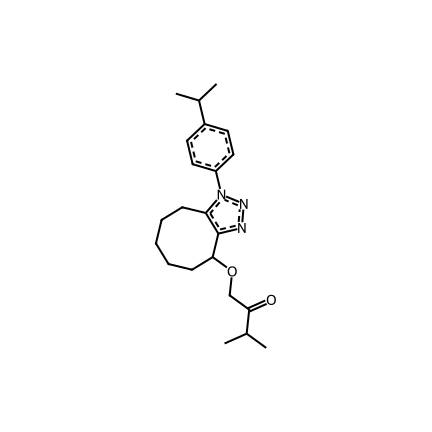 CC(C)C(=O)COC1CCCCCc2c1nnn2-c1ccc(C(C)C)cc1